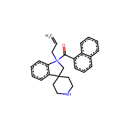 C=CC[N+]1(C(=O)c2cccc3ccccc23)CC2(CCNCC2)c2ccccc21